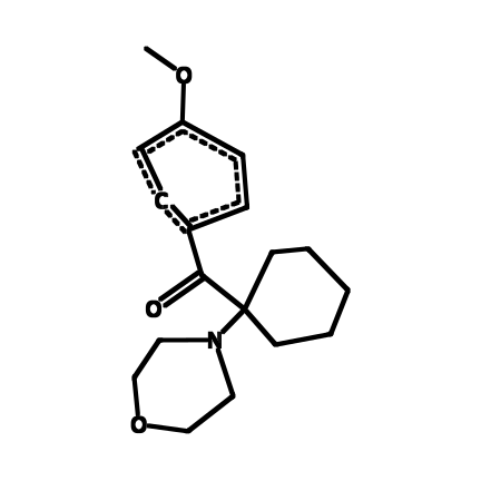 COc1ccc(C(=O)C2(N3CCOCC3)CCCCC2)cc1